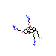 C[C@H](CCCO)C1CC[C@H]2C3[C@H](OCCCN=[N+]=[N-])CC4C[C@H](OCCCN=[N+]=[N-])CC[C@]4(C)[C@H]3CC(OCCCN=[N+]=[N-])[C@]12C